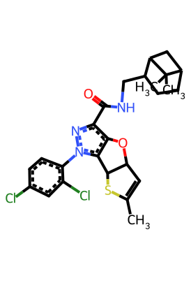 CC1=CC2Oc3c(C(=O)NCC4CCC5CC4C5(C)C)nn(-c4ccc(Cl)cc4Cl)c3C2S1